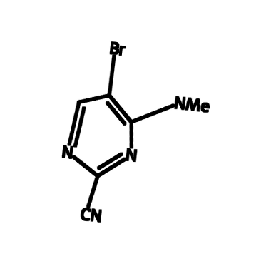 CNc1nc(C#N)ncc1Br